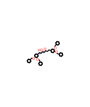 O=C(/C=C(O)/C=C/c1ccc(OCc2ccccc2)c(OCc2ccccc2)c1)CCc1ccc(OCc2ccccc2)c(OCc2ccccc2)c1